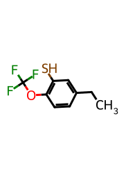 CCc1ccc(OC(F)(F)F)c(S)c1